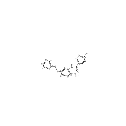 Cc1ccc(C(=O)Nc2cc(CCc3ccccc3)ccc2N)cc1